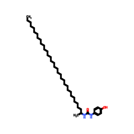 CCCCCCCCCCCCCCCCCCCCCCCCCCCCCCCCCC(C)NC(=O)Nc1ccc(O)cc1